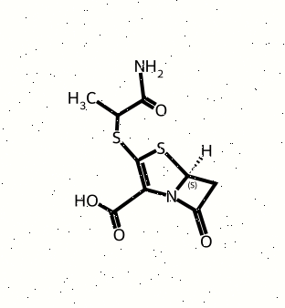 CC(SC1=C(C(=O)O)N2C(=O)C[C@@H]2S1)C(N)=O